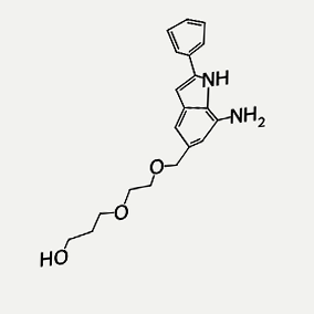 Nc1cc(COCCOCCCO)cc2cc(-c3ccccc3)[nH]c12